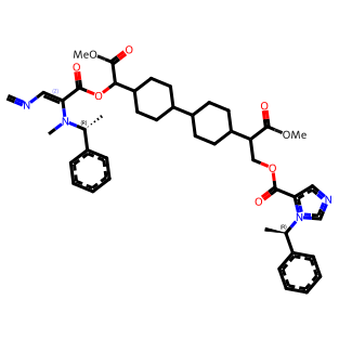 C=N/C=C(/C(=O)OC(C(=O)OC)C1CCC(C2CCC(C(COC(=O)c3cncn3[C@H](C)c3ccccc3)C(=O)OC)CC2)CC1)N(C)[C@H](C)c1ccccc1